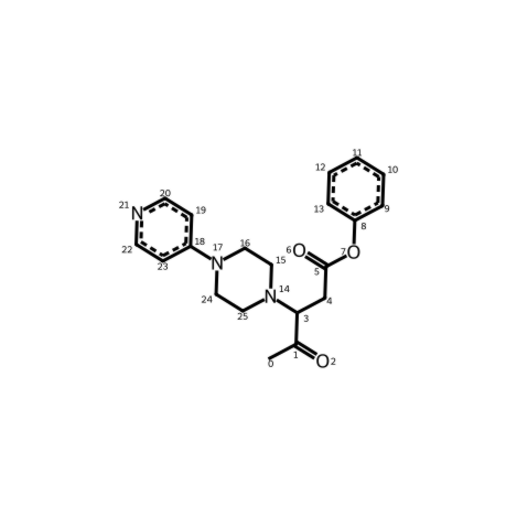 CC(=O)C(CC(=O)Oc1ccccc1)N1CCN(c2ccncc2)CC1